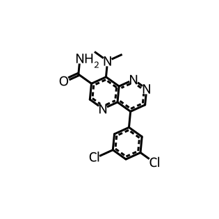 CN(C)c1c(C(N)=O)cnc2c(-c3cc(Cl)cc(Cl)c3)cnnc12